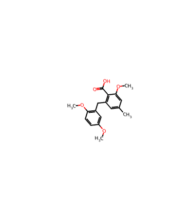 COc1ccc(OC)c(Cc2cc(C)cc(OC)c2C(=O)O)c1